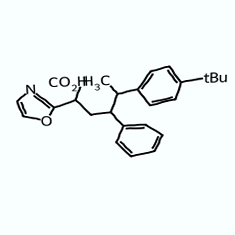 CC(c1ccc(C(C)(C)C)cc1)C(CC(C(=O)O)c1ncco1)c1ccccc1